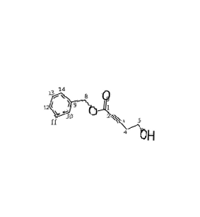 O=C(C#CCCO)OCc1ccccc1